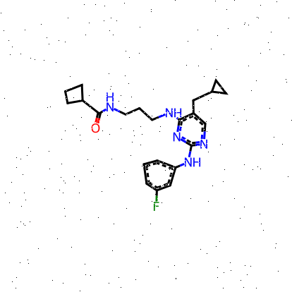 O=C(NCCCNc1nc(Nc2cccc(F)c2)ncc1CC1CC1)C1CCC1